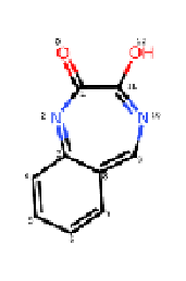 O=c1nc2ccccc2cnc1O